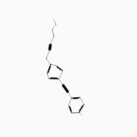 CCCCC#CCc1ccc(C#Cc2ccc(C)cc2)cc1